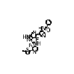 Cc1ccc(-c2nccc3[nH]c(-c4n[nH]c5cnc(-c6cncc(NC(=O)c7ccccc7)c6)c(F)c45)nc23)s1